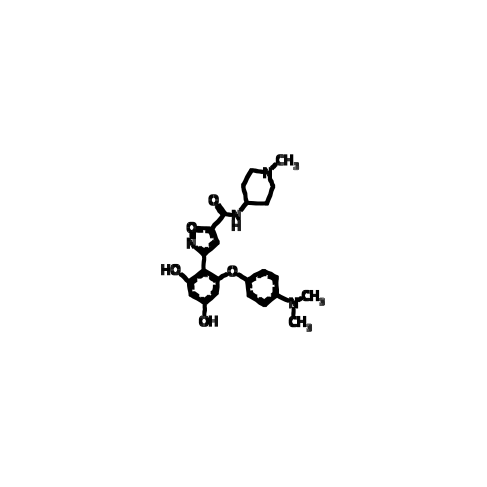 CN1CCC(NC(=O)c2cc(-c3c(O)cc(O)cc3Oc3ccc(N(C)C)cc3)no2)CC1